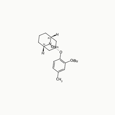 Cc1ccc(O[C@H]2C[C@H]3CCC[C@@H](C2)N3O)c(OCC(C)C)c1